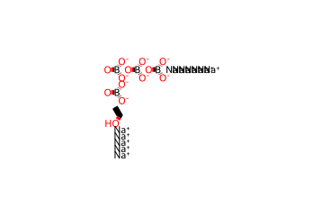 C=CO.[Na+].[Na+].[Na+].[Na+].[Na+].[Na+].[Na+].[Na+].[Na+].[Na+].[Na+].[Na+].[O-]B([O-])[O-].[O-]B([O-])[O-].[O-]B([O-])[O-].[O-]B([O-])[O-]